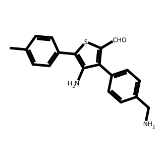 Cc1ccc(-c2sc(C=O)c(-c3ccc(CN)cc3)c2N)cc1